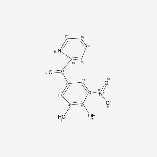 O=C(c1cc(O)c(O)c([N+](=O)[O-])c1)c1ccccn1